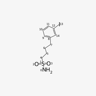 NS(=O)(=O)CCCCc1cccc(I)c1